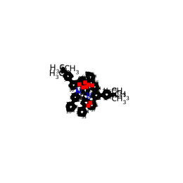 CC(C)(C)c1ccc(-c2ccc(N3c4ccc(-c5ccccc5)cc4B4c5cc(-c6ccccc6)ccc5N(c5ccc(-c6ccc(C(C)(C)C)cc6)cc5-c5ccccc5)c5cc(C6(c7ccccc7)c7ccccc7-c7ccccc76)cc3c54)c(-c3ccccc3)c2)cc1